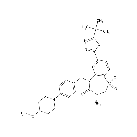 COC1CCN(c2ccc(CN3C(=O)[C@@H](N)CS(=O)(=O)c4ccc(-c5nnc(C(C)(C)C)o5)cc43)cc2)CC1